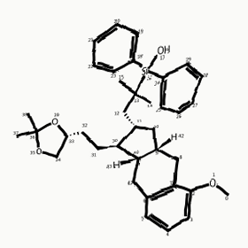 COc1cccc2c1C[C@H]1C[C@@H](CC(C)(C)[Si](O)(c3ccccc3)c3ccccc3)[C@H](CC[C@@H]3COC(C)(C)O3)[C@H]1C2